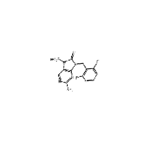 Nc1ncc2c(n1)n(Cc1c(F)cccc1F)c(=O)n2C(=O)O